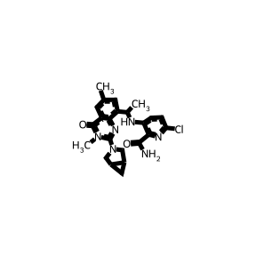 Cc1cc(C(C)Nc2ccc(Cl)nc2C(N)=O)c2nc(N3CC4CC4C3)n(C)c(=O)c2c1